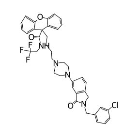 O=C1c2cc(N3CCN(CCCCC4(C(=O)NCC(F)(F)F)c5ccccc5Oc5ccccc54)CC3)ccc2CN1Cc1cccc(Cl)c1